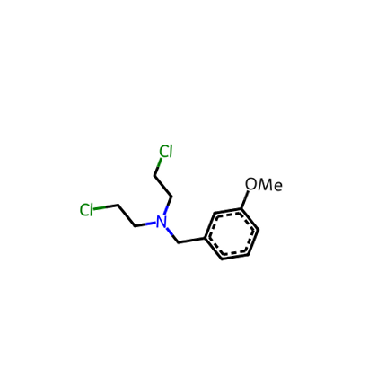 COc1cccc(CN(CCCl)CCCl)c1